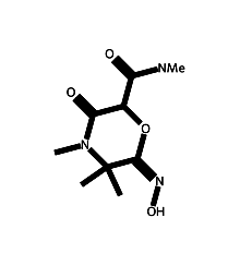 CNC(=O)C1OC(=NO)C(C)(C)N(C)C1=O